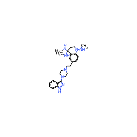 CNN1CCC(NC)(NC)c2cc(CCN3CCN(c4n[nH]c5ccccc45)CC3)ccc21